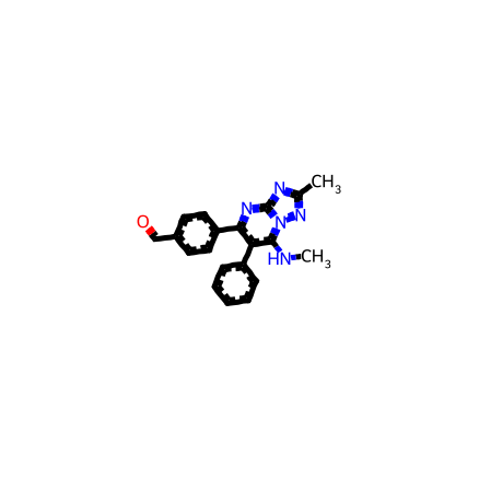 CNc1c(-c2ccccc2)c(-c2ccc(C=O)cc2)nc2nc(C)nn12